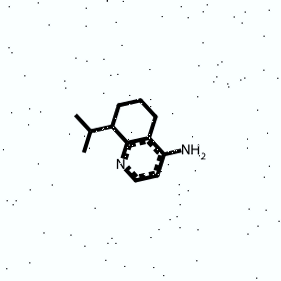 CC(C)C1CCCc2c(N)ccnc21